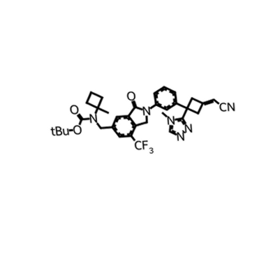 Cn1cnnc1C1(c2cccc(N3Cc4c(cc(CN(C(=O)OC(C)(C)C)C5(C)CCC5)cc4C(F)(F)F)C3=O)c2)CC(=CC#N)C1